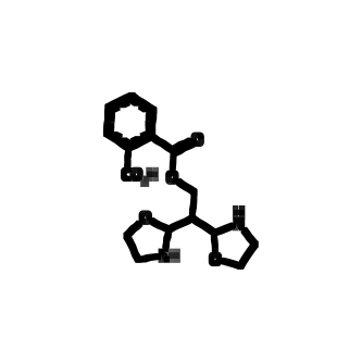 O=C(O)c1ccccc1C(=O)OCC(C1NCCO1)C1NCCO1